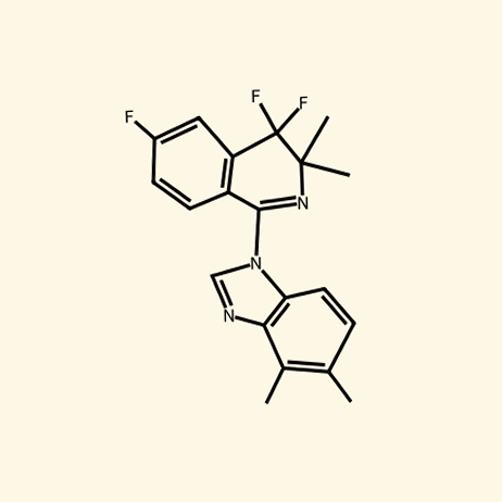 Cc1ccc2c(ncn2C2=NC(C)(C)C(F)(F)c3cc(F)ccc32)c1C